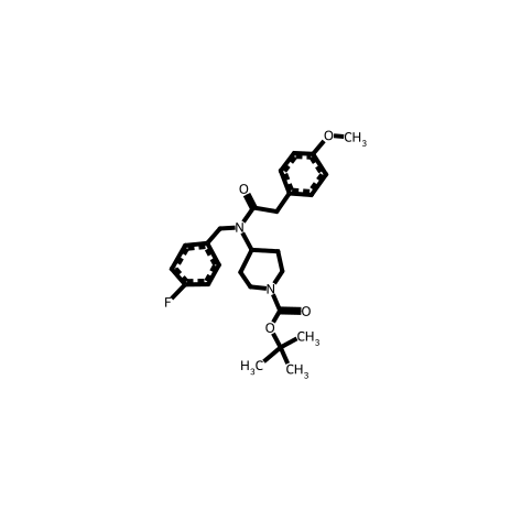 COc1ccc(CC(=O)N(Cc2ccc(F)cc2)C2CCN(C(=O)OC(C)(C)C)CC2)cc1